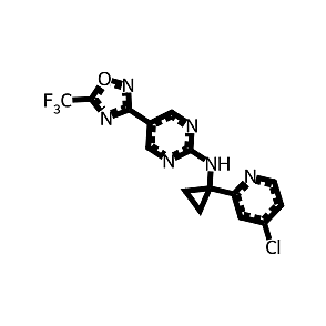 FC(F)(F)c1nc(-c2cnc(NC3(c4cc(Cl)ccn4)CC3)nc2)no1